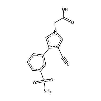 CS(=O)(=O)c1cccc(-c2cn(CC(=O)O)cc2C#N)c1